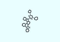 c1ccc(-c2cc(-c3ccccc3)nc(-n3c4ccccc4c4c5c6ccccc6n6c7ccccc7nc6c5ccc43)n2)cc1